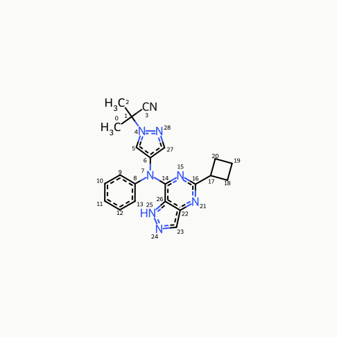 CC(C)(C#N)n1cc(N(c2ccccc2)c2nc(C3CCC3)nc3cn[nH]c23)cn1